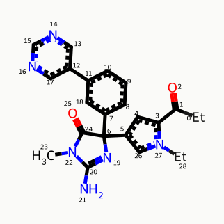 CCC(=O)c1cc(C2(c3cccc(-c4cncnc4)c3)N=C(N)N(C)C2=O)cn1CC